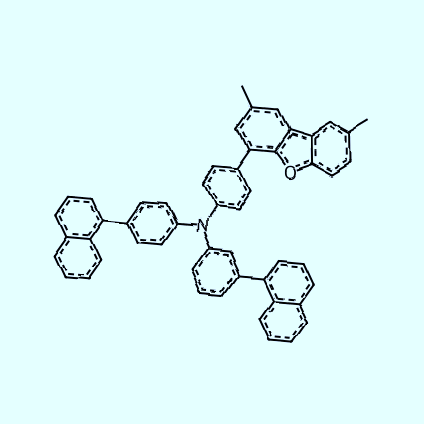 Cc1ccc2oc3c(-c4ccc(N(c5ccc(-c6cccc7ccccc67)cc5)c5cccc(-c6cccc7ccccc67)c5)cc4)cc(C)cc3c2c1